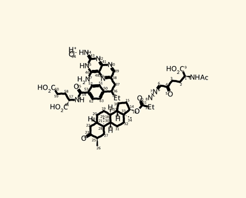 CC(=O)N[C@@H](CCC(=O)C=[N+]=[N-])C(=O)O.CCC(=O)O[C@H]1CC[C@H]2[C@@H]3CC[C@H]4CC(=O)[C@H](C)C[C@]4(C)[C@H]3CC[C@]12C.CCC(Cc1cnc2nc(=N)[nH]c(N)c2n1)c1ccc(C(=O)N[C@@H](CCC(=O)O)C(=O)O)cc1.[Cl-].[H+]